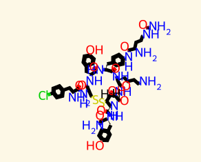 NCCCC[C@@H]1NC(=O)[C@@H](Cc2ccc(NC(=O)[C@@H](N)CCCNC(N)=O)cc2)NC(=O)[C@H](Cc2ccc(O)cc2)NC(=O)[C@H](NC(=O)[C@@H](N)Cc2ccc(Cl)cc2)CSSC2[C@@H](C(=O)N[C@H](Cc3ccc(O)cc3)C(N)=O)NC(=O)[C@@H](NC1=O)[C@@H]2O